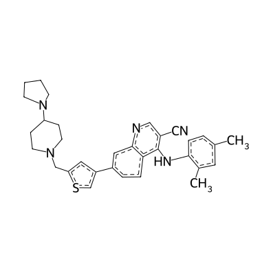 Cc1ccc(Nc2c(C#N)cnc3cc(-c4csc(CN5CCC(N6CCCC6)CC5)c4)ccc23)c(C)c1